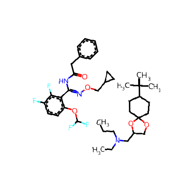 CCCN(CC)CC1COC2(CCC(C(C)(C)C)CC2)O1.O=C(Cc1ccccc1)N/C(=N\OCC1CC1)c1c(OC(F)F)ccc(F)c1F